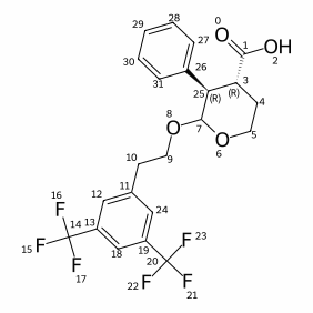 O=C(O)[C@@H]1CCOC(OCCc2cc(C(F)(F)F)cc(C(F)(F)F)c2)[C@H]1c1ccccc1